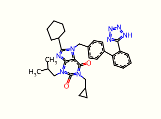 CC(C)Cn1c(=O)n(CC2CC2)c(=O)c2c1nc(C1CCCCC1)n2Cc1ccc(-c2ccccc2-c2nnn[nH]2)cc1